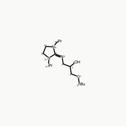 CCCCOCC(O)CN=C1N(C(C)C)CCN1C(C)C